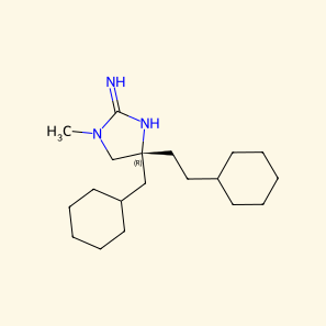 CN1C[C@@](CCC2CCCCC2)(CC2CCCCC2)NC1=N